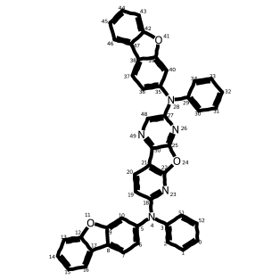 c1ccc(N(c2ccc3c(c2)oc2ccccc23)c2ccc3c(n2)oc2nc(N(c4ccccc4)c4ccc5c(c4)oc4ccccc45)cnc23)cc1